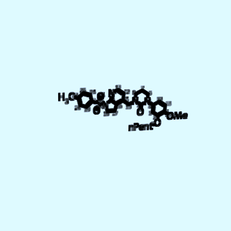 CCCCCOc1cc(N2CCCN(Cc3ccnc4c3ccn4S(=O)(=O)c3ccc(C)cc3)C2=O)ccc1OC